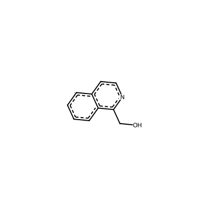 OCc1nccc2[c]cccc12